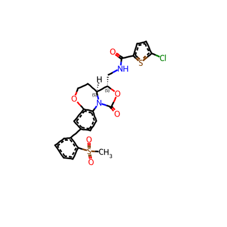 CS(=O)(=O)c1ccccc1-c1ccc2c(c1)OCC[C@H]1[C@H](CNC(=O)c3ccc(Cl)s3)OC(=O)N21